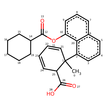 CC1(c2cccc3cccc(OC(=O)C4CCCCC4)c23)C=CC=CC1C(=O)O